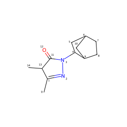 CC1=NN(C2CC3CCC2C3)C(=O)C1C